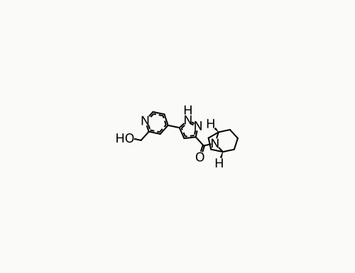 O=C(c1cc(-c2ccnc(CO)c2)[nH]n1)N1[C@@H]2CCC[C@H]1CC2